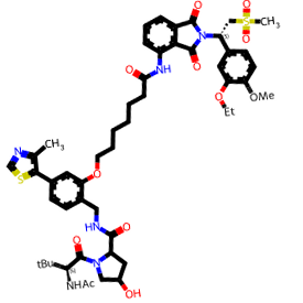 CCOc1cc([C@@H](CS(C)(=O)=O)N2C(=O)c3cccc(NC(=O)CCCCCCOc4cc(-c5scnc5C)ccc4CNC(=O)C4CC(O)CN4C(=O)[C@@H](NC(C)=O)C(C)(C)C)c3C2=O)ccc1OC